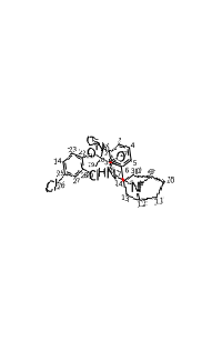 [C-]#[N+]c1cccc(CN2C3CCC2CC(NC(=O)C(C)(C)Oc2ccc(Cl)cc2Cl)C3)c1